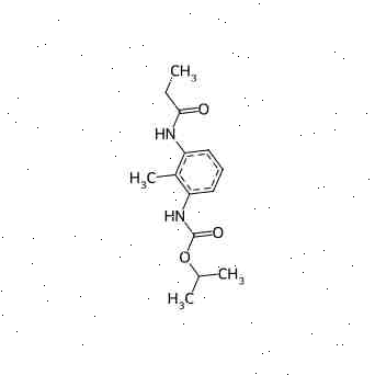 CCC(=O)Nc1cccc(NC(=O)OC(C)C)c1C